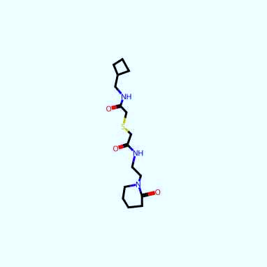 O=C(CSCC(=O)NCC1CCC1)NCCN1CCCCC1=O